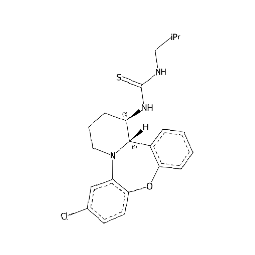 CC(C)CNC(=S)N[C@@H]1CCCN2c3cc(Cl)ccc3Oc3ccccc3[C@@H]12